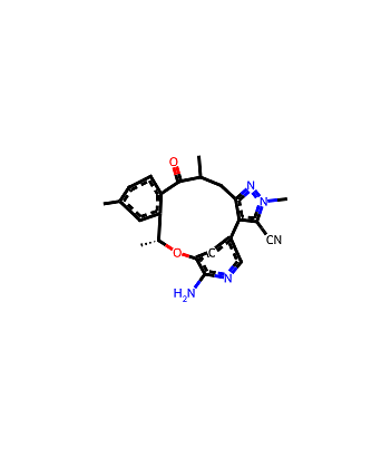 Cc1ccc2c(c1)[C@@H](C)Oc1cc(cnc1N)-c1c(nn(C)c1C#N)CC(C)C2=O